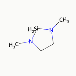 CN1CCN(C)[SiH2]1